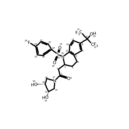 O=C(CC1CCc2cc(C(O)(C(F)(F)F)C(F)(F)F)ccc2N1S(=O)(=O)c1ccc(F)cc1)N1C[C@@H](O)[C@@H](O)C1